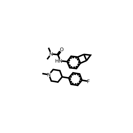 CN(C)C(=O)Nc1ccc2c(c1)C1CC21.CN1CCC(c2ccc(F)cc2)CC1